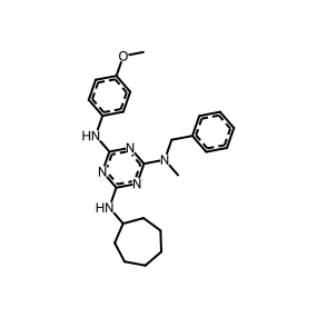 COc1ccc(Nc2nc(NC3CCCCCC3)nc(N(C)Cc3ccccc3)n2)cc1